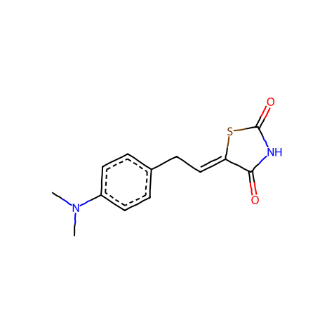 CN(C)c1ccc(CC=C2SC(=O)NC2=O)cc1